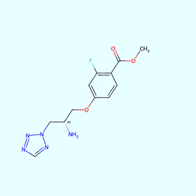 COC(=O)c1ccc(OC[C@H](N)Cn2ncnn2)cc1F